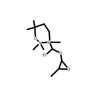 CCC(OC1OC1C)[Si]1(C)CCC(C)(C)O[Si]1(C)C